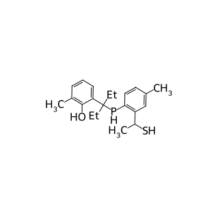 CCC(CC)(Pc1ccc(C)cc1C(C)S)c1cccc(C)c1O